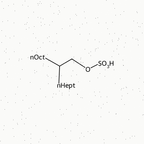 CCCCCCCCC(CCCCCCC)COS(=O)(=O)O